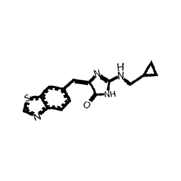 O=C1NC(NCC2CC2)=NC1=Cc1ccc2ncsc2c1